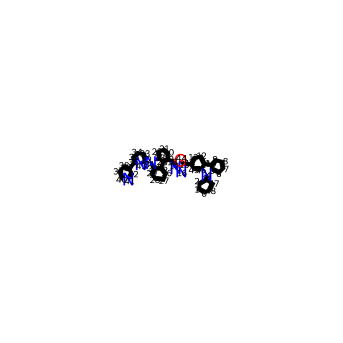 c1ccc(-n2c3ccccc3c3ccc(-c4nnc(-c5cccc6c5c5ccccc5n6-c5cccc(-c6cccnc6)n5)o4)cc32)cc1